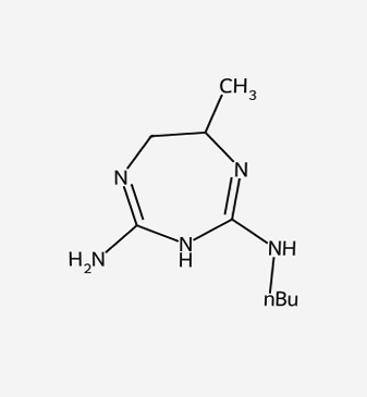 CCCCNC1=NC(C)CN=C(N)N1